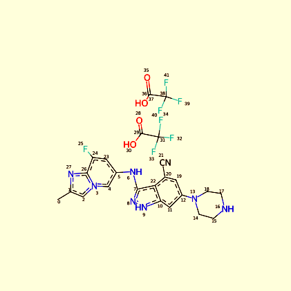 Cc1cn2cc(Nc3n[nH]c4cc(N5CCNCC5)cc(C#N)c34)cc(F)c2n1.O=C(O)C(F)(F)F.O=C(O)C(F)(F)F